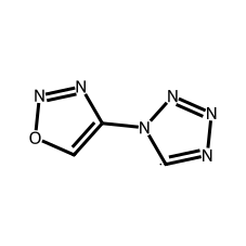 [c]1nnnn1-c1conn1